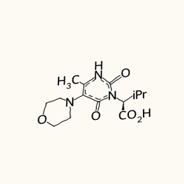 Cc1[nH]c(=O)n([C@H](C(=O)O)C(C)C)c(=O)c1N1CCOCC1